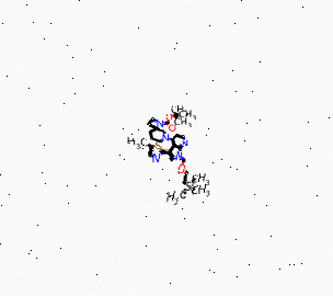 Cc1cnc(-c2cn(COCC[Si](C)(C)C)c3nccc(N4CCCC5(CCN5C(=O)OC(C)(C)C)C4)c23)s1